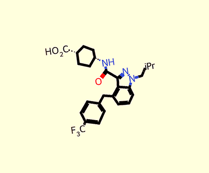 CC(C)Cn1nc(C(=O)N[C@H]2CC[C@@H](C(=O)O)CC2)c2c(Cc3ccc(C(F)(F)F)cc3)cccc21